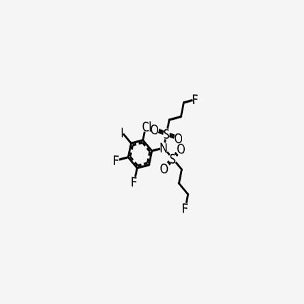 O=S(=O)(CCCF)N(c1cc(F)c(F)c(I)c1Cl)S(=O)(=O)CCCF